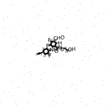 C#Cc1ccc(Nc2c(C(=O)NOCCO)cc(C=O)c(F)c2F)c(F)c1